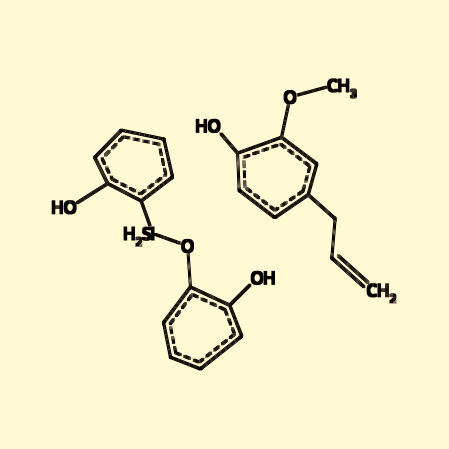 C=CCc1ccc(O)c(OC)c1.Oc1ccccc1O[SiH2]c1ccccc1O